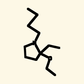 CCCCN1CCCC1(CC)OCC